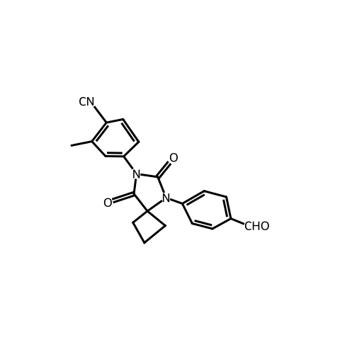 [C-]#[N+]c1ccc(N2C(=O)N(c3ccc(C=O)cc3)C3(CCC3)C2=O)cc1C